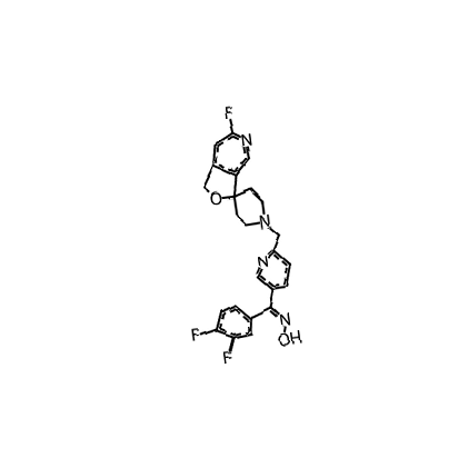 ON=C(c1ccc(CN2CCC3(CC2)OCc2cc(F)ncc23)nc1)c1ccc(F)c(F)c1